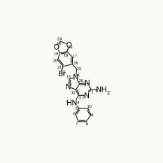 Nc1nc(Nc2ccccc2)c2ncn(Cc3cc4c(cc3Br)OCO4)c2n1